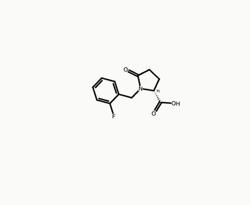 O=C(O)[C@H]1CCC(=O)N1Cc1ccccc1F